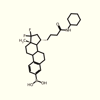 C[C@]12CCC3c4ccc(B(O)O)cc4CCC3C1[C@@H](CCCC(=O)NC1CCCCC1)CC2(F)F